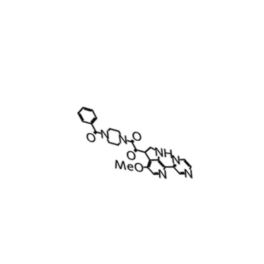 COc1cnc(-c2cnccn2)c2c1C(C(=O)C(=O)N1CCN(C(=O)c3ccccc3)CC1)CN2